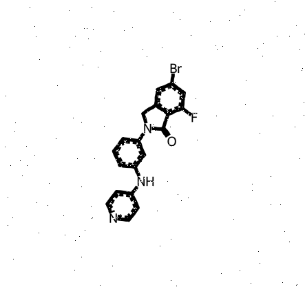 O=C1c2c(F)cc(Br)cc2CN1c1cccc(Nc2ccncc2)c1